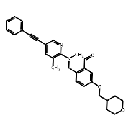 Cc1cc(C#Cc2ccccc2)cnc1N(C)Cc1ccc(OCC2CCOCC2)cc1C=O